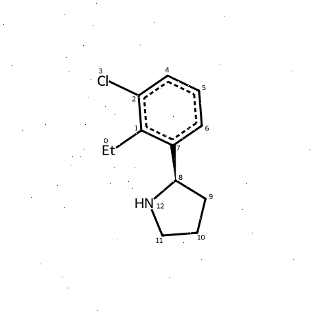 CCc1c(Cl)cccc1[C@H]1CCCN1